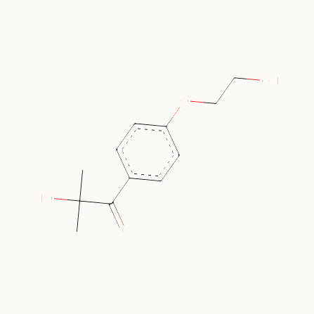 CC(C)(O)C(=S)c1ccc(OCCO)cc1